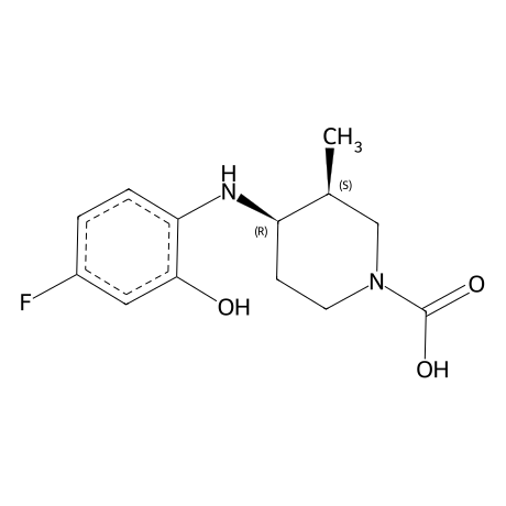 C[C@H]1CN(C(=O)O)CC[C@H]1Nc1ccc(F)cc1O